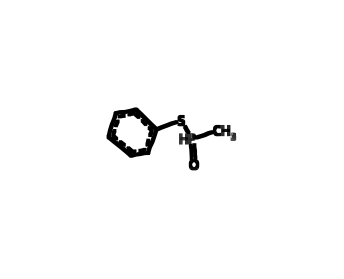 C[PH](=O)Sc1ccccc1